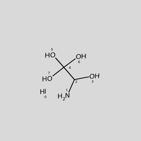 I.NC(O)C(O)(O)O